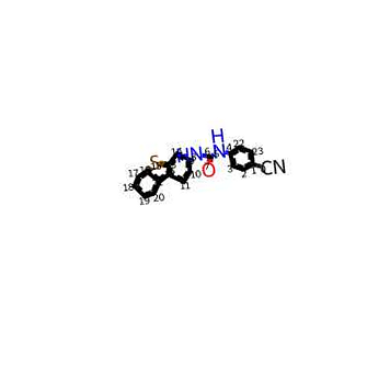 N#Cc1ccc(NC(=O)Nc2ccc3c(c2)sc2ccccc23)cc1